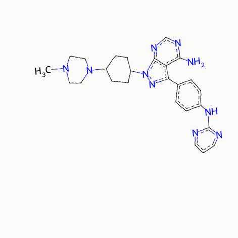 CN1CCN(C2CCC(n3nc(-c4ccc(Nc5ncccn5)cc4)c4c(N)ncnc43)CC2)CC1